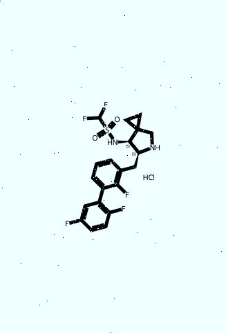 Cl.O=S(=O)(N[C@@H]1[C@H](Cc2cccc(-c3cc(F)ccc3F)c2F)NCC12CC2)C(F)F